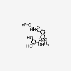 CCCOCCNC(=O)Cc1cccc(CC(C)(C)NCC(O)c2cc(O)cc(O)c2)c1